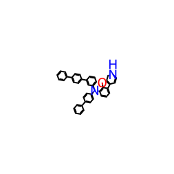 C1=Cc2c(oc3c(N(c4ccc(-c5ccccc5)cc4)c4cccc(-c5ccc(-c6ccccc6)cc5)c4)cccc23)CN1